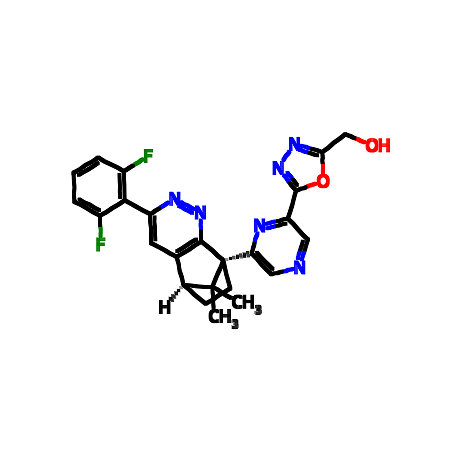 CC1(C)[C@H]2CC[C@]1(c1cncc(-c3nnc(CO)o3)n1)c1nnc(-c3c(F)cccc3F)cc12